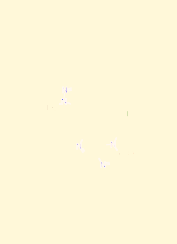 Cn1cc2c(-c3ccc(Cn4c(=O)cnc5cnccc54)c(F)c3)cccc2n1